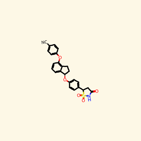 N#Cc1ccc(Oc2cccc3c2CC[C@H]3Oc2ccc(C3CC(=O)NS3(=O)=O)cc2)cc1